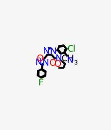 CC1(N2C(=O)C3C(c4nc(-c5ccc(F)cc5)no4)N=CN3c3ccc(Cl)c(C#N)c32)CCCO1